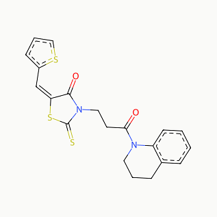 O=C1/C(=C\c2cccs2)SC(=S)N1CCC(=O)N1CCCc2ccccc21